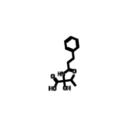 CC(C)C(O)(NC(=O)CCc1ccccc1)C(=O)O